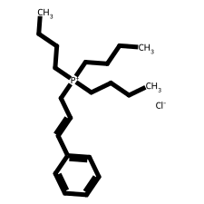 CCCC[P+](C/C=C/c1ccccc1)(CCCC)CCCC.[Cl-]